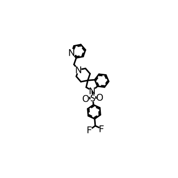 O=S(=O)(c1ccc(C(F)F)cc1)N1CC2(CCN(Cc3ccccn3)CC2)c2ccccc21